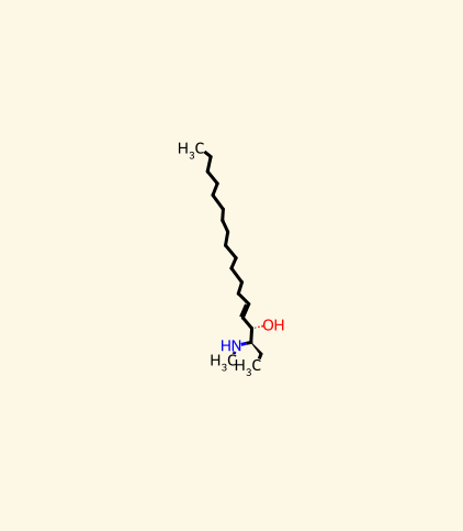 CCCCCCCCCCCCC/C=C/[C@H](O)[C@@H](CC)NC